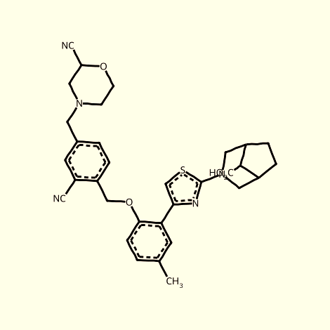 Cc1ccc(OCc2ccc(CN3CCOC(C#N)C3)cc2C#N)c(-c2csc(N3CC4CCC(C3)C4C(=O)O)n2)c1